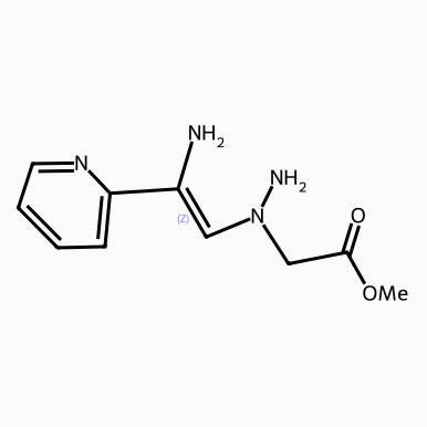 COC(=O)CN(N)/C=C(\N)c1ccccn1